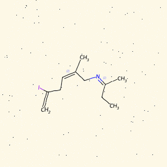 C=C(I)C/C=C(/C)C/N=C(/C)CC